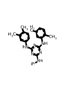 Cc1ccc(C)c(Nc2nc(Nc3ccc(C)c(C)c3)nc(NC(C)C)n2)c1